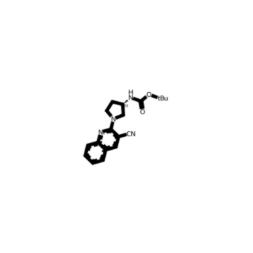 CC(C)(C)OC(=O)N[C@H]1CCN(c2nc3ccccc3cc2C#N)C1